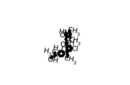 CCN(c1cc(Cl)cc(C(=O)NCc2c(C)cc(C)[nH]c2=O)c1C)[C@H]1CC[C@H](N(C)CCO)CC1